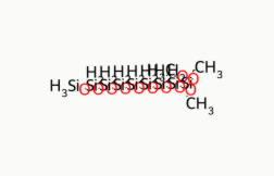 CCO[Si](OCC)(OCC)O[SiH2]O[SiH2]O[SiH2]O[SiH2]O[SiH2]O[SiH2]O[SiH2]O[SiH3]